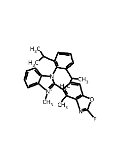 Cc1c(-c2n(-c3c(C(C)C)cccc3C(C)C)c3ccccc3[n+]2C)ccc2oc(F)nc12